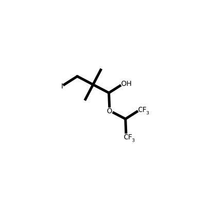 CC(C)(CI)C(O)OC(C(F)(F)F)C(F)(F)F